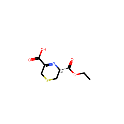 CCOC(=O)[C@@H]1CSCC(C(=O)O)=N1